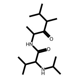 CC(C)NC(C(=O)NC(C)C(=O)C(C)C(C)C)C(C)C